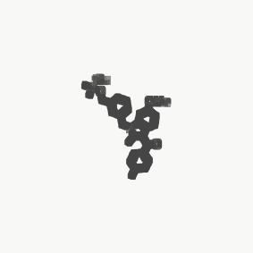 COc1ccc2c(C(=O)c3ccc(C)cc3)c(C)n(Cc3cccc(CO[Si](C)(C)C(C)(C)C)c3)c2c1